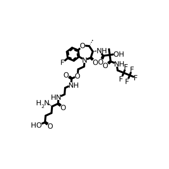 C[C@H]1Oc2ccc(F)cc2N(CCOC(=O)NCCNC(=O)[C@@H](N)CCC(=O)O)C(=O)[C@H]1NC(=O)C(C)(O)C(=O)NCC(F)(F)C(F)(F)F